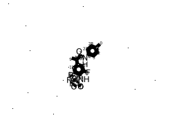 Cc1ccc(NC(=O)C(C)c2ccc(NS(=O)(=O)S(F)(F)(F)(F)F)c(F)c2)cc1